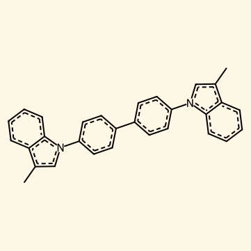 Cc1cn(-c2ccc(-c3ccc(-n4cc(C)c5ccccc54)cc3)cc2)c2ccccc12